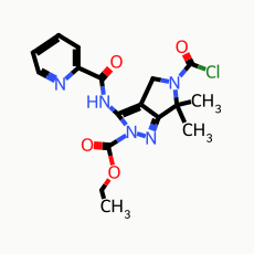 CCOC(=O)n1nc2c(c1NC(=O)c1ccccn1)CN(C(=O)Cl)C2(C)C